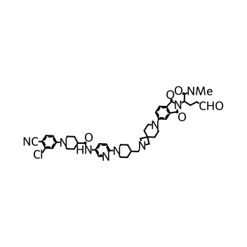 CNC(=O)C(CCC=O)N1C(=O)c2ccc(N3CCC4(CC3)CN(CC3CCN(c5ccc(NC(=O)C6CCN(c7ccc(C#N)c(Cl)c7)CC6)cn5)CC3)C4)cc2C1=O